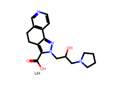 O=C(O)c1c2c(nn1CC(O)CN1CCCC1)-c1ccncc1CC2.[LiH]